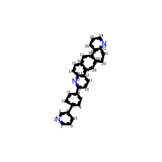 c1cncc(-c2ccc(-c3ccc4c(ccc5cc6c(ccc7ncccc76)cc54)n3)cc2)c1